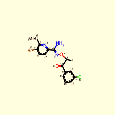 COc1nc(/C(N)=N/OC(C)C(=O)c2cccc(Cl)c2)ccc1Br